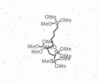 CO[Si](CCCCCC(CC([Si](OC)(OC)OC)[Si](OC)(OC)OC)[Si](OC)(OC)OC)(OC)OC